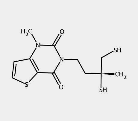 Cn1c(=O)n(CC[C@@](C)(S)CS)c(=O)c2sccc21